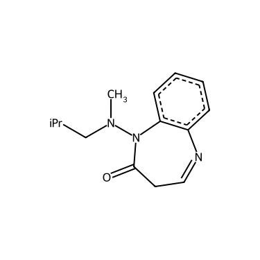 CC(C)CN(C)N1C(=O)CC=Nc2ccccc21